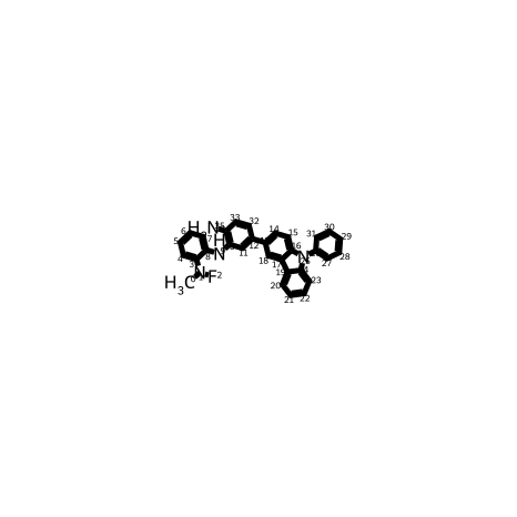 CN(F)c1ccccc1Nc1cc(-c2ccc3c(c2)c2ccccc2n3-c2ccccc2)ccc1N